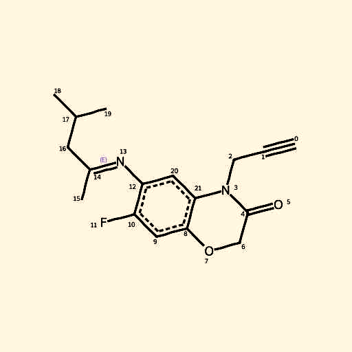 C#CCN1C(=O)COc2cc(F)c(/N=C(\C)CC(C)C)cc21